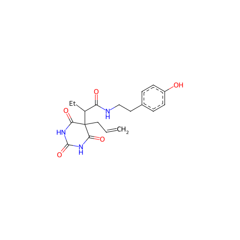 C=CCC1(C(CC)C(=O)NCCc2ccc(O)cc2)C(=O)NC(=O)NC1=O